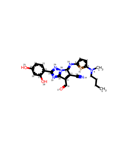 CCCCN(C)c1ccc(/N=C2\C(C#N)=C(C=O)c3nc(-c4ccc(O)cc4O)nn32)s1